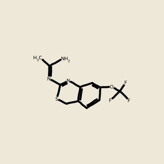 CC(N)=NC1=Nc2cc(OC(F)(F)F)ccc2CS1